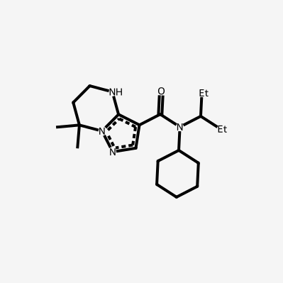 CCC(CC)N(C(=O)c1cnn2c1NCCC2(C)C)C1CCCCC1